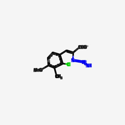 COc1ccc(/C=C(\N=[N+]=N)C(=O)[O-])c(Cl)c1C